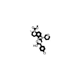 COC(=O)N1c2ccc3c(nc(C[C@@H](C(=O)O)c4ccc(Cl)cc4)n3[C@H]3CCCOC3)c2CC[C@@H]1C